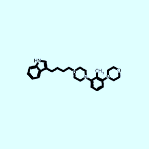 Cc1c(N2CCOCC2)cccc1N1CCN(CCCCc2c[nH]c3ccccc23)CC1